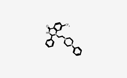 O=C1NC(c2ccccc2)N(CCN2CCN(c3ccccc3)CC2)c2cc(C(F)(F)F)ccc21